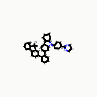 CC1(C)c2ccccc2-c2ccc(-c3ccccc3-c3ccc4c5ccccc5n(-c5ccc(-c6ncccn6)cc5)c4c3)cc21